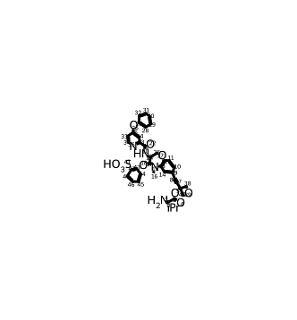 CC(C)C(N)C(=O)OC1(C#Cc2ccc3c(c2)N(C)C(=O)[C@@H](NC(=O)c2cc(Oc4ccccc4)ccn2)CO3)COC1.O=S(=O)(O)c1ccccc1